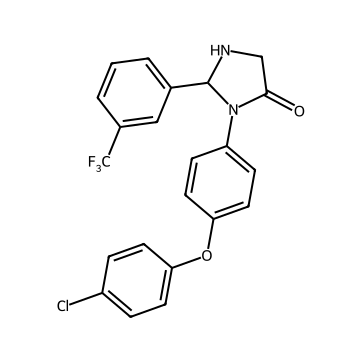 O=C1CNC(c2cccc(C(F)(F)F)c2)N1c1ccc(Oc2ccc(Cl)cc2)cc1